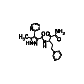 Cc1[nH]nc(C(=O)NC(CCc2ccccc2)C(=O)C(N)=O)c1-c1ccccn1